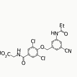 CCC(=O)Nc1cc(C#N)cc(COc2c(Cl)cc(C(=O)NCC(=O)O)cc2Cl)c1